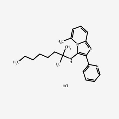 CCCCCCC(C)(C)Nc1c(-c2ccccn2)nc2cccc(C)n12.Cl